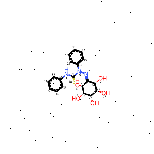 O[C@@H]1[C@H](O)[C@H](O)/C(=N\N(C(=S)Nc2ccccc2)c2ccccc2)[C@H](O)[C@H]1O